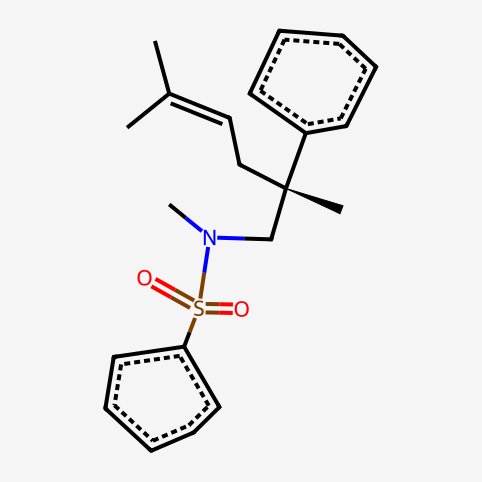 CC(C)=CC[C@@](C)(CN(C)S(=O)(=O)c1ccccc1)c1ccccc1